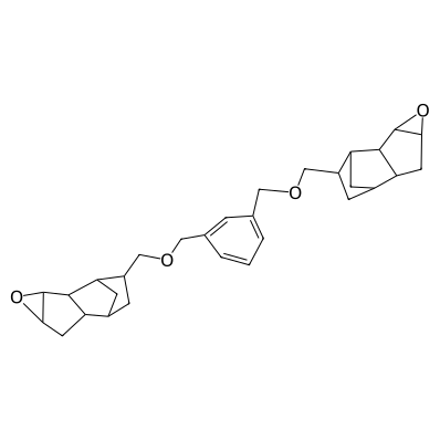 c1cc(COCC2CC3CC2C2C3CC3OC32)cc(COCC2CC3CC2C2C3CC3OC32)c1